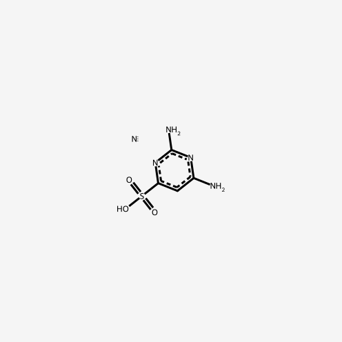 Nc1cc(S(=O)(=O)O)nc(N)n1.[N]